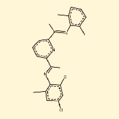 C/C(=N\c1c(C)cccc1C)c1cccc(/C(C)=N/c2c(C)cc(Cl)cc2Cl)n1